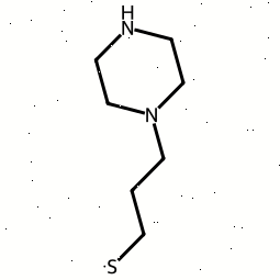 [S]CCCN1CCNCC1